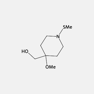 COC1(CO)CCN(SC)CC1